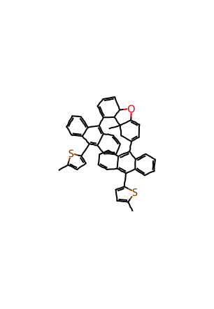 Cc1ccc(-c2c3c(c(C4=CC=C5OC6C=CC=C(c7c8ccccc8c(-c8ccc(C)s8)c8ccccc78)C6C5(C)C4)c4ccccc24)CCC=C3)s1